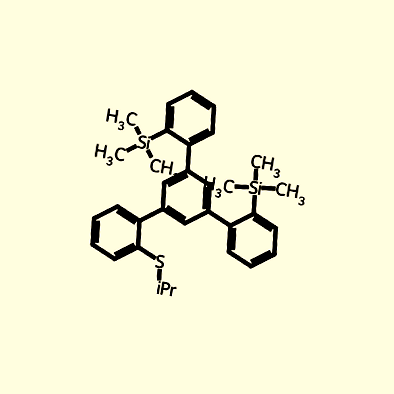 CC(C)Sc1ccccc1-c1cc(-c2ccccc2[Si](C)(C)C)cc(-c2ccccc2[Si](C)(C)C)c1